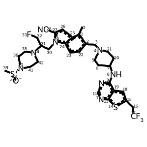 Cc1c(CN2CCC(Nc3ncnc4sc(CC(F)(F)F)cc34)CC2)ccc2c1cc(C#N)n2CC(CF)N1CCN([S+](C)[O-])CC1